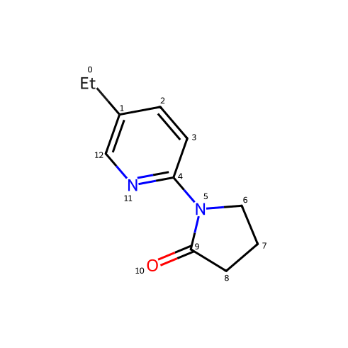 CCc1ccc(N2CCCC2=O)nc1